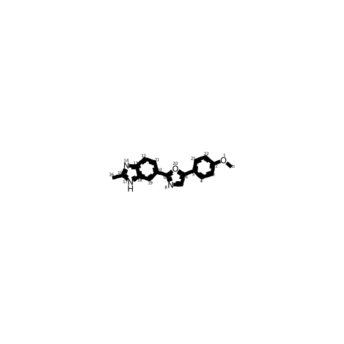 COc1ccc(-c2cnc(-c3ccc4nc(C)[nH]c4c3)o2)cc1